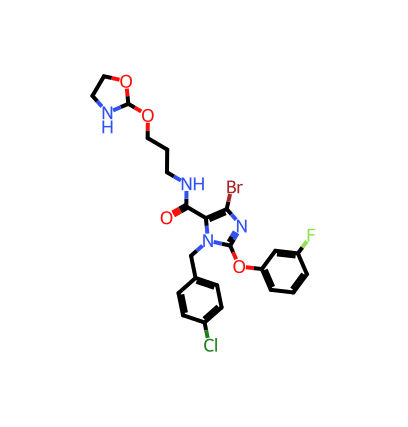 O=C(NCCCOC1NCCO1)c1c(Br)nc(Oc2cccc(F)c2)n1Cc1ccc(Cl)cc1